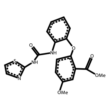 COC(=O)c1cc(OC)ccc1Oc1ccccc1NC(=O)Nc1nccs1